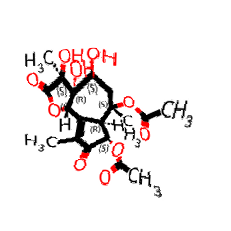 CC(=O)O[C@@H]1C(=O)C(C)=C2[C@H]1[C@@](C)(OC(C)=O)C[C@H](O)[C@@]1(O)[C@H]2OC(=O)[C@@]1(C)O